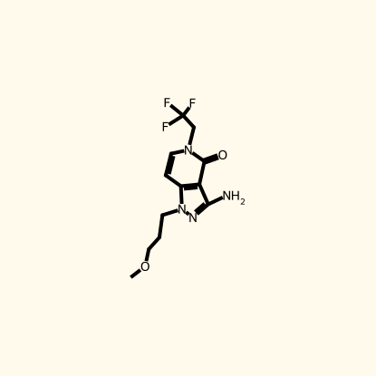 COCCCn1nc(N)c2c(=O)n(CC(F)(F)F)ccc21